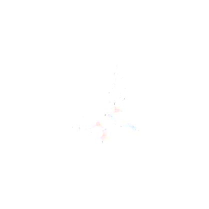 CCOC(=O)/C(C#N)=N/Oc1ccc(C)cc1